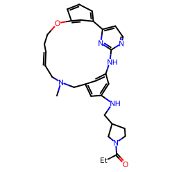 CCC(=O)N1CCC(CNc2cc3cc(c2)Nc2nccc(n2)-c2cccc(c2)OCC/C=C/CN(C)C3)C1